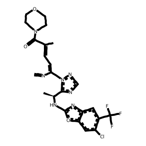 C=N/C(=C\C=C(/C)C(=O)N1CCOCC1)n1ncnc1[C@H](C)Nc1nc2cc(C(F)(F)F)c(Cl)cc2o1